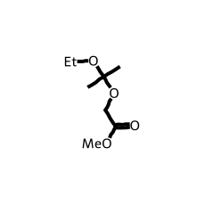 CCOC(C)(C)OCC(=O)OC